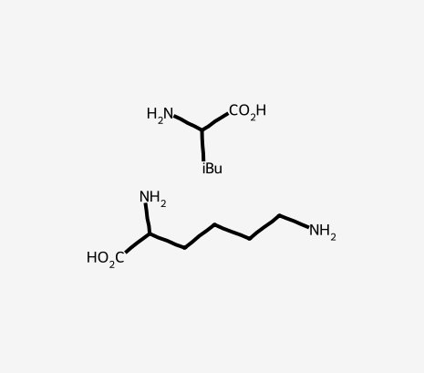 CCC(C)C(N)C(=O)O.NCCCCC(N)C(=O)O